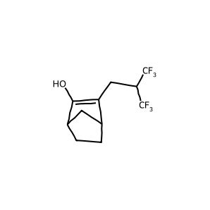 OC1=C(CC(C(F)(F)F)C(F)(F)F)C2CCC1C2